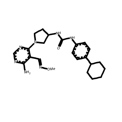 CON=Cc1c(N)ncnc1N1CCC(NC(=O)Nc2ccc(C3CCCCC3)cc2)C1